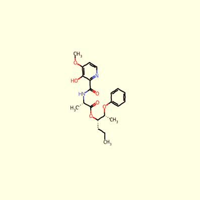 CCC[C@H](OC(=O)[C@H](C)NC(=O)c1nccc(OC)c1O)[C@@H](C)Oc1ccccc1